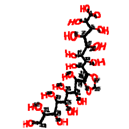 O=C(O)C(O)C(O)C(O)C(O)C(O)C(O)C(O)C1=C(C(O)C(O)C(O)C(O)C(O)C(O)C(O)CO)OCO1